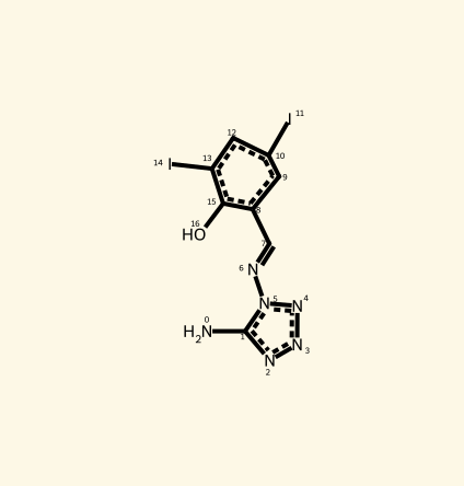 Nc1nnnn1N=Cc1cc(I)cc(I)c1O